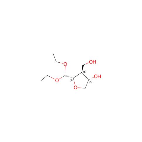 CCOC(OCC)[C@H]1OC[C@@H](O)[C@@H]1CO